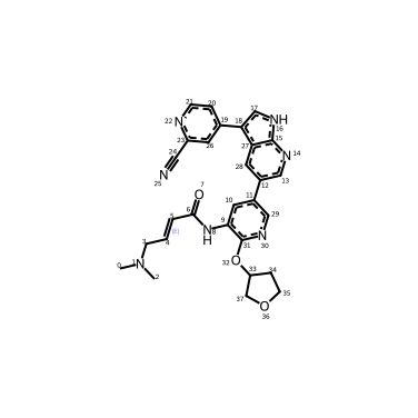 CN(C)C/C=C/C(=O)Nc1cc(-c2cnc3[nH]cc(-c4ccnc(C#N)c4)c3c2)cnc1OC1CCOC1